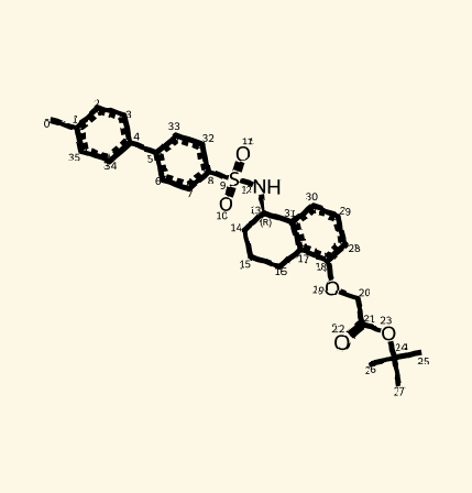 Cc1ccc(-c2ccc(S(=O)(=O)N[C@@H]3CCCc4c(OCC(=O)OC(C)(C)C)cccc43)cc2)cc1